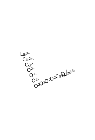 [Ca+2].[Ca+2].[Cu+2].[Cu+2].[La+3].[La+3].[O-2].[O-2].[O-2].[O-2].[O-2].[O-2].[O-2]